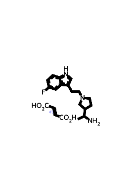 CC(N)C1CCN(CCc2c[nH]c3ccc(F)cc23)C1.O=C(O)/C=C/C(=O)O